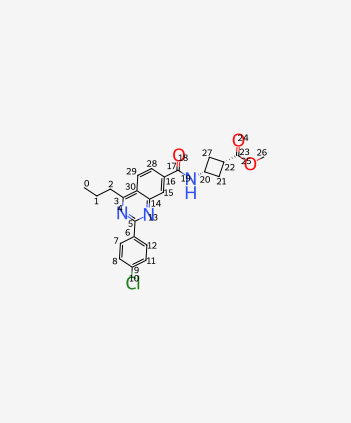 CCCc1nc(-c2ccc(Cl)cc2)nc2cc(C(=O)N[C@H]3C[C@@H](C(=O)OC)C3)ccc12